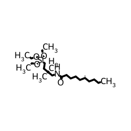 CCCC[CH]CCCCC(=O)NCC(C)(C)CC[Si](OCC)(OCC)OCC